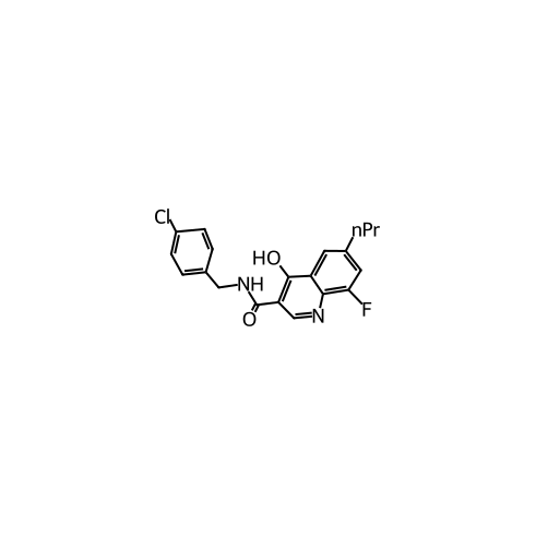 [CH2]CCc1cc(F)c2ncc(C(=O)NCc3ccc(Cl)cc3)c(O)c2c1